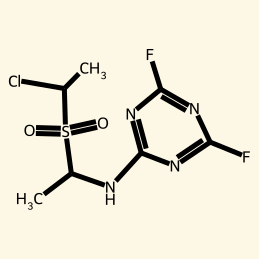 CC(Cl)S(=O)(=O)C(C)Nc1nc(F)nc(F)n1